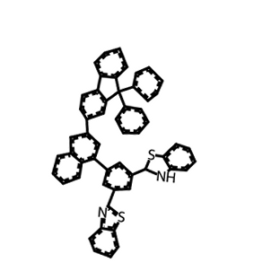 c1ccc(C2(c3ccccc3)c3ccccc3-c3ccc(-c4cc(-c5cc(-c6nc7ccccc7s6)cc(C6Nc7ccccc7S6)c5)c5ccccc5c4)cc32)cc1